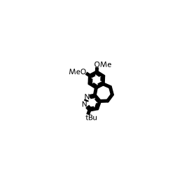 COc1cc2c(cc1OC)-c1nnc(C(C)(C)C)cc1CCC2